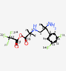 CC(C)(NCC(C)(N)c1cc(F)cc(F)c1)C(=O)OC(=O)C(F)(F)F